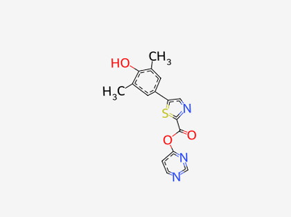 Cc1cc(-c2cnc(C(=O)Oc3ccncn3)s2)cc(C)c1O